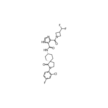 O=C(N[C@H]1CC[C@@]2(CCN(c3ccc(F)cc3Cl)C2=O)CC1)c1[nH]cnc1C(=O)N1CC(C(F)F)C1